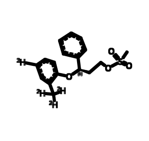 [2H]c1ccc(O[C@H](CCOS(C)(=O)=O)c2ccccc2)c(C([2H])([2H])[2H])c1